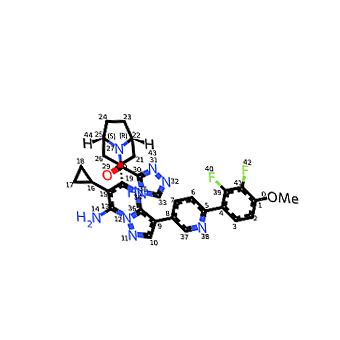 COc1ccc(-c2ccc(-c3cnn4c(N)c(C5CC5)c([C@H]5C[C@H]6CC[C@@H](C5)N6C(=O)c5nnc[nH]5)nc34)cn2)c(F)c1F